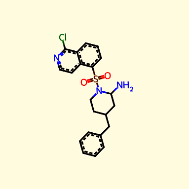 NC1CC(Cc2ccccc2)CCN1S(=O)(=O)c1cccc2c(Cl)nccc12